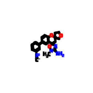 [C-]#[N+]c1cccc(-c2ccc3c(c2)C2(CC4(CCOC4)O3)N=C(N)N(C)O2)c1